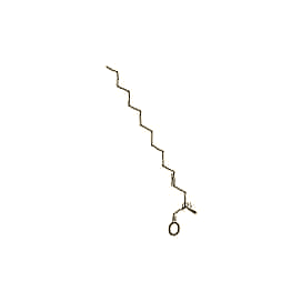 CCCCCCCCCCCC=CC[C@@H](C)C=O